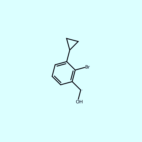 O[CH]c1cccc(C2CC2)c1Br